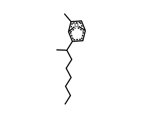 CCCCCCC(C)c1cc2cc(C)c1o2